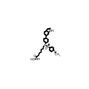 COc1ccc(S(=O)(=O)N(CCCCCCC(=O)NO)c2ccc(-c3ccc4cc[nH]c4c3)cc2)cc1